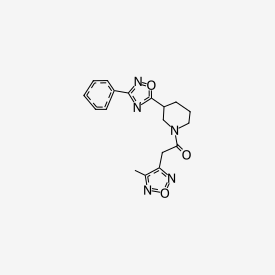 Cc1nonc1CC(=O)N1CCCC(c2nc(-c3ccccc3)no2)C1